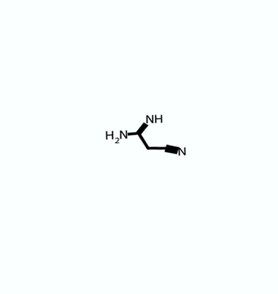 N#CCC(=N)N